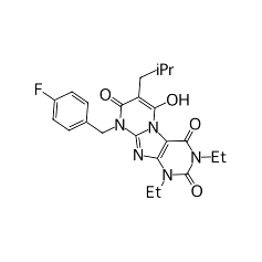 CCn1c(=O)c2c(nc3n(Cc4ccc(F)cc4)c(=O)c(CC(C)C)c(O)n23)n(CC)c1=O